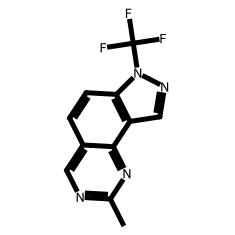 Cc1ncc2ccc3c(cnn3C(F)(F)F)c2n1